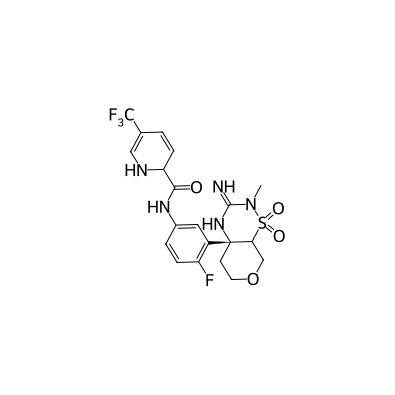 CN1C(=N)N[C@@]2(c3cc(NC(=O)C4C=CC(C(F)(F)F)=CN4)ccc3F)CCOCC2S1(=O)=O